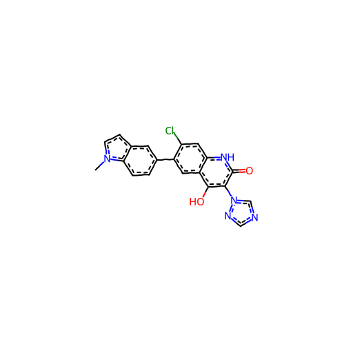 Cn1ccc2cc(-c3cc4c(O)c(-n5cncn5)c(=O)[nH]c4cc3Cl)ccc21